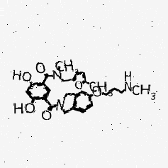 CNCCCOc1ccc2c(c1)CN(C(=O)c1cc(C(=O)N(C)Cc3ccc(C)o3)c(O)cc1O)C2